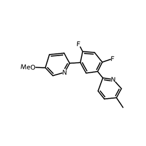 COc1ccc(-c2cc(-c3ccc(C)cn3)c(F)cc2F)nc1